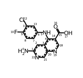 Nc1cc2c(Nc3ccc(F)c(Cl)c3)c(C(=O)O)cnc2cn1